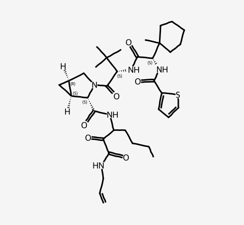 C=CCNC(=O)C(=O)C(CCCC)NC(=O)[C@@H]1[C@H]2C[C@H]2CN1C(=O)[C@@H](NC(=O)[C@@H](NC(=O)c1cccs1)C1(C)CCCCC1)C(C)(C)C